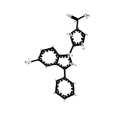 Cc1ccc2c(c1)c(-c1ccccc1)nn2-c1nc(C(=O)O)cs1